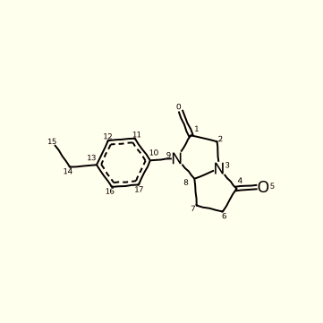 C=C1CN2C(=O)CCC2N1c1ccc(CC)cc1